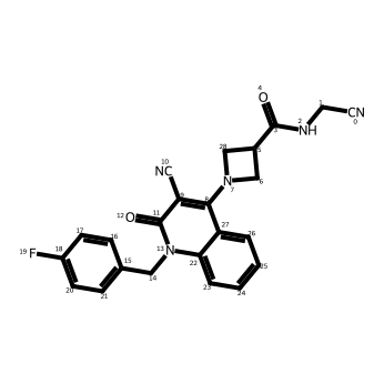 N#CCNC(=O)C1CN(c2c(C#N)c(=O)n(Cc3ccc(F)cc3)c3ccccc23)C1